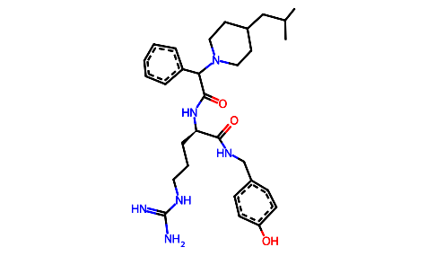 CC(C)CC1CCN(C(C(=O)N[C@H](CCCNC(=N)N)C(=O)NCc2ccc(O)cc2)c2ccccc2)CC1